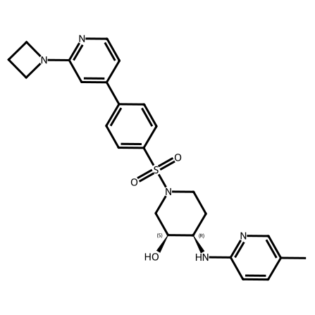 Cc1ccc(N[C@@H]2CCN(S(=O)(=O)c3ccc(-c4ccnc(N5CCC5)c4)cc3)C[C@@H]2O)nc1